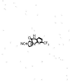 N#CN1CCC2(C1)Nc1nc(C(F)(F)F)ccc1NC2=O